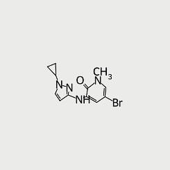 Cn1cc(Br)cc(Nc2ccn(C3CC3)n2)c1=O